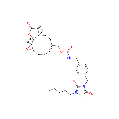 C=C1C(=O)O[C@H]2[C@H]1CC/C(COC(=O)NCc1ccc(Cn3c(=O)sn(CCCCC)c3=O)cc1)=C\CC[C@@]1(C)O[C@@H]21